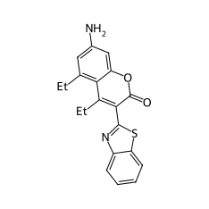 CCc1cc(N)cc2oc(=O)c(-c3nc4ccccc4s3)c(CC)c12